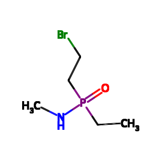 CCP(=O)(CCBr)NC